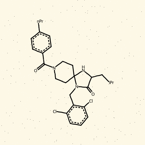 CCCc1ccc(C(=O)N2CCC3(CC2)NC(CC(C)C)C(=O)N3Cc2c(Cl)cccc2Cl)cc1